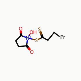 CC(C)CCC(=S)S[N+]1(O)C(=O)CCC1=O